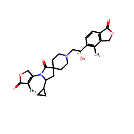 CC1=C(N2C(=O)C3(CCN(C[C@@H](O)c4ccc5c(c4C)COC5=O)CC3)CC2C2CC2)COC1=O